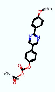 CCCCCCOc1ccc(-c2ncc(-c3ccc(OC(=O)O[C@H]4O[C@@H]4CCC)cc3)cn2)cc1